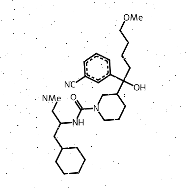 CNCC(CC1CCCCC1)NC(=O)N1CCCC(C(O)(CCCCOC)c2cccc(C#N)c2)C1